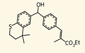 CCOC(=O)C(C)=Cc1ccc(C(O)c2ccc3c(c2)C(C)(C)CCS3)cc1